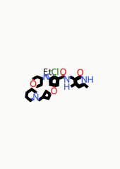 CCN(c1cc(OC2CC(CN3CCCCC3)C2)cc(C(=O)NCc2c(C)cc(C)[nH]c2=O)c1Cl)C1CCOCC1